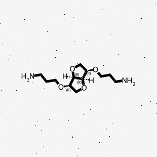 NCCCO[C@@H]1CO[C@H]2[C@@H]1OC[C@H]2OCCCN